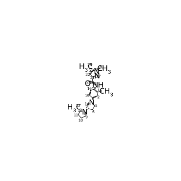 Cc1cc(N2CC[C@H](N3CCC[C@@H]3C)C2)ccc1NC(=O)c1cc(C)n(C)n1